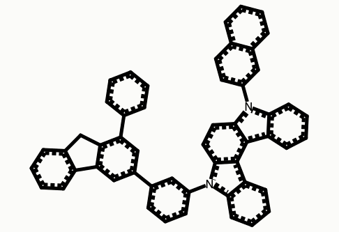 c1ccc(-c2cc(-c3cccc(-n4c5ccccc5c5c6c7ccccc7n(-c7ccc8ccccc8c7)c6ccc54)c3)cc3c2Cc2ccccc2-3)cc1